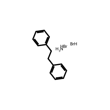 Br.Br.N.c1ccc(CCc2ccccc2)cc1